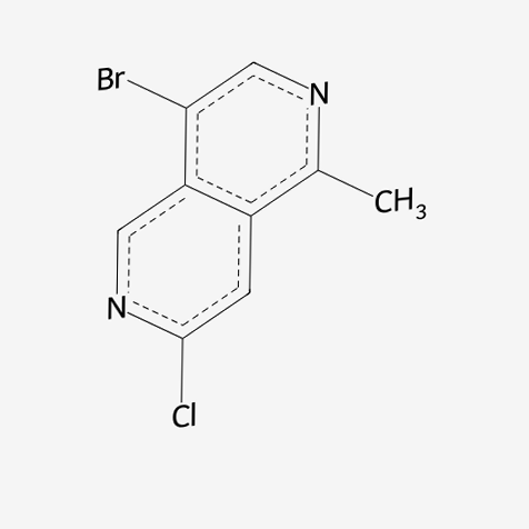 Cc1ncc(Br)c2cnc(Cl)cc12